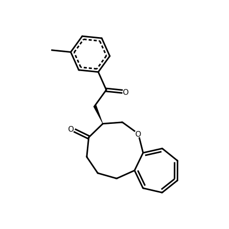 Cc1cccc(C(=O)C[C@H]2COC3=CC=C=CC=C3CCCC2=O)c1